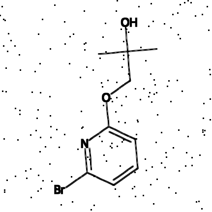 CC(C)(O)COc1cccc(Br)n1